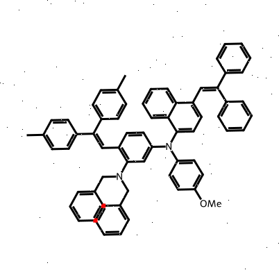 COc1ccc(N(c2ccc(C=C(c3ccc(C)cc3)c3ccc(C)cc3)c(N(Cc3ccccc3)Cc3ccccc3)c2)c2ccc(C=C(c3ccccc3)c3ccccc3)c3ccccc23)cc1